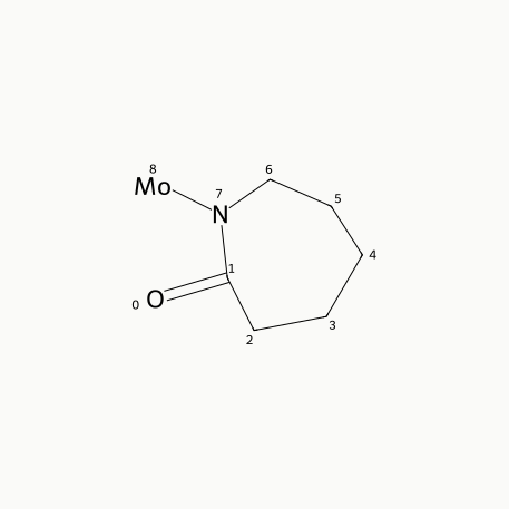 O=C1CCCCC[N]1[Mo]